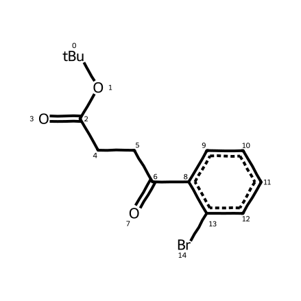 CC(C)(C)OC(=O)CCC(=O)c1ccccc1Br